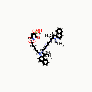 CC[N+]1=C(/C=C/C=C/C=C/C=C2/N(CCCCCC(=O)ON3C(=O)CC(S(=O)(=O)O)C3=O)c3ccc4ccccc4c3C2(C)C)C(C)(C)c2c1ccc1ccccc21